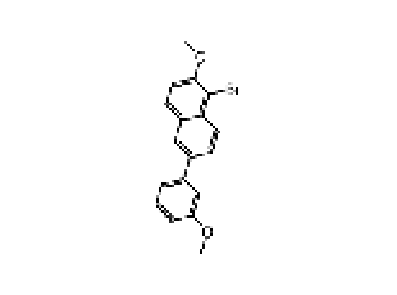 COc1cccc(-c2ccc3c(Br)c(OC)ccc3c2)c1